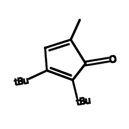 CC1=CC(C(C)(C)C)=C(C(C)(C)C)C1=O